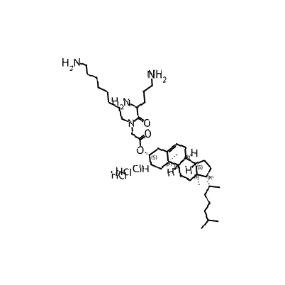 CC(C)CCCC(C)[C@H]1CC[C@H]2[C@@H]3CC=C4C[C@@H](OC(=O)CN(CCCCCCCCN)C(=O)C(N)CCCN)CC[C@]4(C)[C@H]3CC[C@]12C.Cl.Cl.Cl